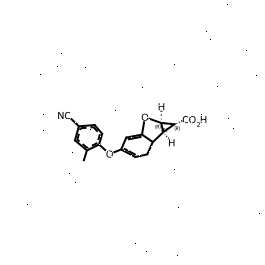 Cc1cc(C#N)ccc1OC1=CCC2C(=C1)O[C@H]1[C@H](C(=O)O)[C@@H]21